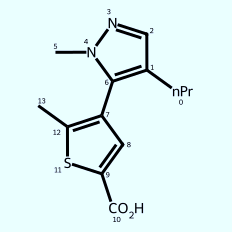 CCCc1cnn(C)c1-c1cc(C(=O)O)sc1C